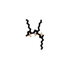 CCCCCCc1csc(-c2sc(-c3sc(C)cc3CCCCCC)cc2CCCCCC)c1